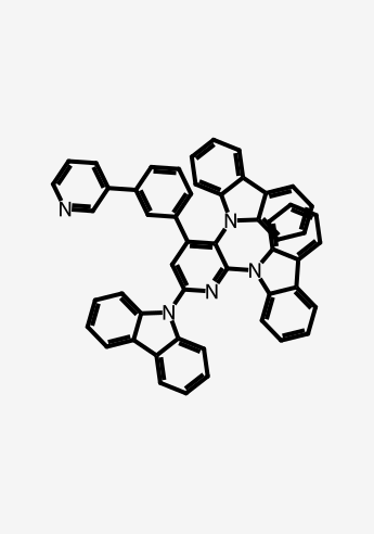 c1cncc(-c2cccc(-c3cc(-n4c5ccccc5c5ccccc54)nc(-n4c5ccccc5c5ccccc54)c3-n3c4ccccc4c4ccccc43)c2)c1